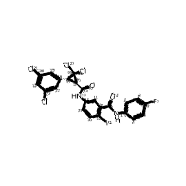 O=C(Nc1ccc(F)cc1)c1cc(NC(=O)[C@H]2[C@H](c3cc(Cl)cc(Cl)c3)C2(Cl)Cl)ccc1I